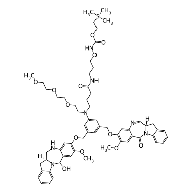 COCCOCCOCCN(CCCC(=O)NCCCONC(=O)OCC[Si](C)(C)C)c1cc(COc2cc3c(cc2OC)C(=O)N2c4ccccc4C[C@H]2C=N3)cc(COc2cc3c(cc2OC)C(O)N2c4ccccc4C[C@H]2CN3)c1